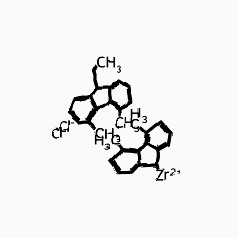 CCC1c2cccc(C)c2-c2c(C)cccc21.Cc1cccc2c1-c1c(C)cccc1[CH]2[Zr+2].[Cl-].[Cl-]